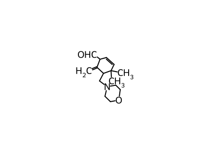 C=C1C(C=O)C=CC(C)(C)C1CN1CCOCC1